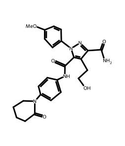 COc1ccc(-n2nc(C(N)=O)c(CCO)c2C(=O)Nc2ccc(N3CCCCC3=O)cc2)cc1